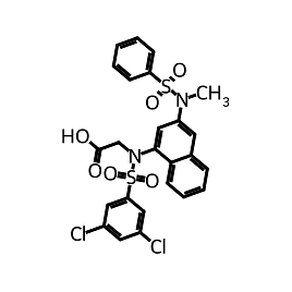 CN(c1cc(N(CC(=O)O)S(=O)(=O)c2cc(Cl)cc(Cl)c2)c2ccccc2c1)S(=O)(=O)c1ccccc1